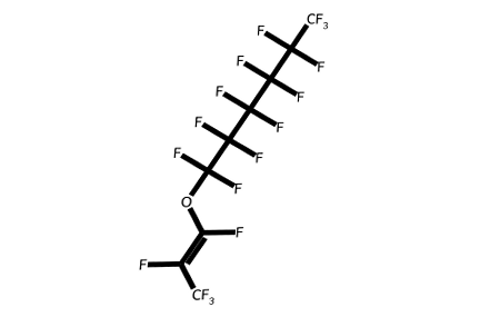 FC(OC(F)(F)C(F)(F)C(F)(F)C(F)(F)C(F)(F)C(F)(F)F)=C(F)C(F)(F)F